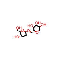 OC[C@H]1O[C@@H](OC[C@H]2OC[C@H](O)[C@H](O)[C@@H]2O)CC[C@@H]1O